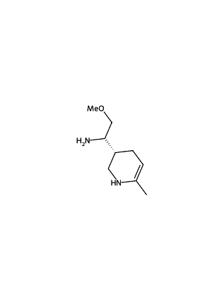 COCC(N)[C@@H]1CC=C(C)NC1